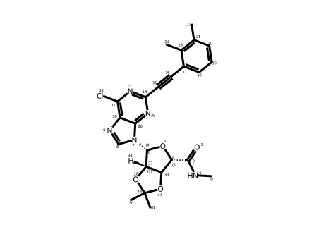 CNC(=O)[C@H]1O[C@@H](n2cnc3c(Cl)nc(C#Cc4cccc(C)c4C)nc32)[C@H]2OC(C)(C)OC12